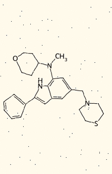 CN(c1cc(CN2CCSCC2)cc2cc(-c3ccccc3)[nH]c12)C1CCOCC1